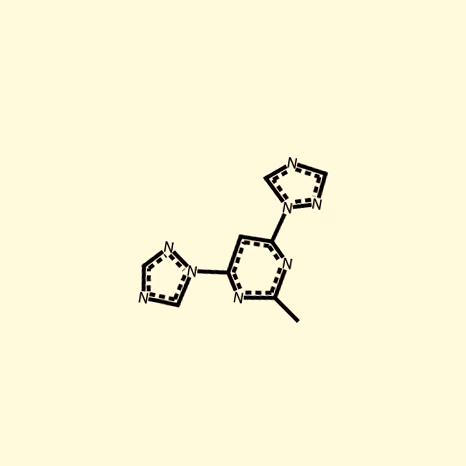 Cc1nc(-n2cncn2)cc(-n2cncn2)n1